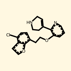 Clc1ccc(CCOc2cccnc2C2=CCNCC2)c2occc12